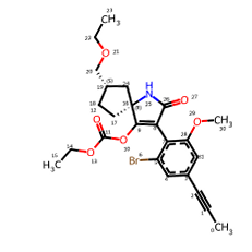 CC#Cc1cc(Br)c(C2=C(OC(=O)OCC)[C@]3(CC[C@H](COCC)C3)NC2=O)c(OC)c1